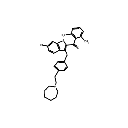 Cc1cccc(C)c1C(=O)c1sc2cc(O)ccc2c1Oc1ccc(CCN2CCCCCC2)cc1